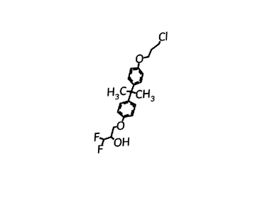 CC(C)(c1ccc(OCCCCl)cc1)c1ccc(OCC(O)C(F)F)cc1